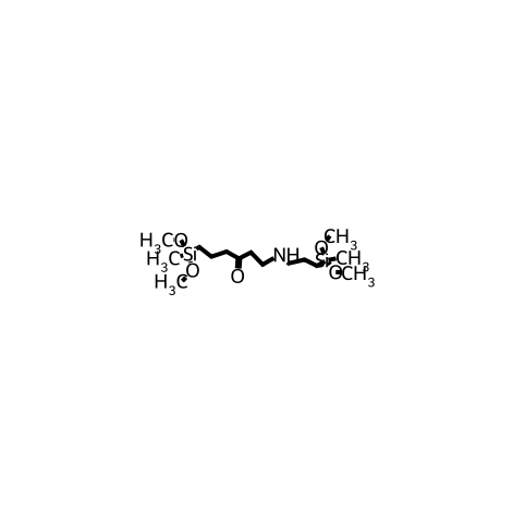 CO[Si](C)(CCCNCCC(=O)CCC[Si](C)(OC)OC)OC